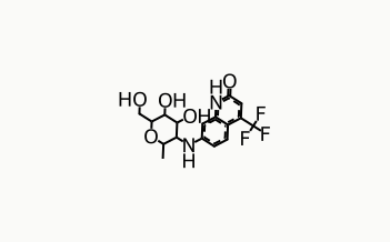 CC1OC(CO)C(O)C(O)C1Nc1ccc2c(C(F)(F)F)cc(=O)[nH]c2c1